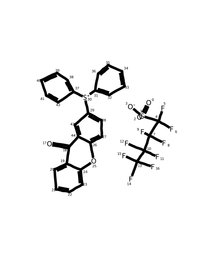 O=S(=O)([O-])C(F)(F)C(F)(F)C(F)(F)C(F)(F)F.O=c1c2ccccc2oc2ccc([S+](c3ccccc3)c3ccccc3)cc12